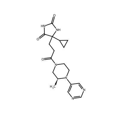 C[C@H]1CN(C(=O)CCC2(C3CC3)NC(=O)NC2=O)CCN1c1cncnc1